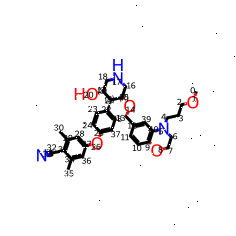 COCCCN1CCOc2ccc(CO[C@H]3CNC[C@@H](O)[C@@H]3c3ccc(Oc4cc(C)c(C#N)c(C)c4)cc3)cc21